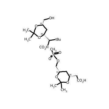 CC1(C)O[C@H](CO)C[C@H](C(C(=O)O)C(C)(C)C)O1.CC1(C)O[C@H](COS(C)(=O)=O)C[C@H](CC(=O)O)O1